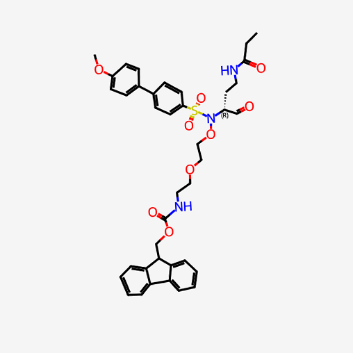 CCC(=O)NCC[C@H](C=O)N(OCCOCCNC(=O)OCC1c2ccccc2-c2ccccc21)S(=O)(=O)c1ccc(-c2ccc(OC)cc2)cc1